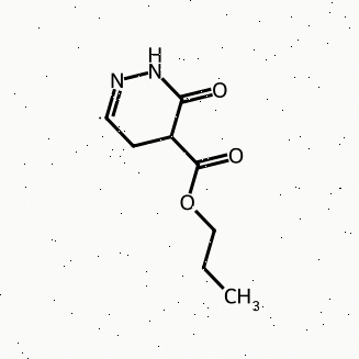 CCCOC(=O)C1C[C]=NNC1=O